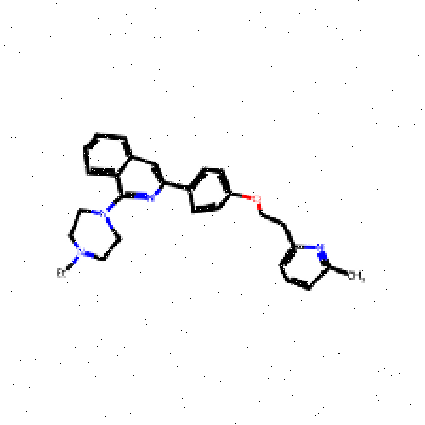 CCN1CCN(c2nc(-c3ccc(OCCc4cccc(C)n4)cc3)cc3ccccc23)CC1